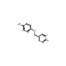 Fc1ccc(O[CH]c2ccccc2)cc1